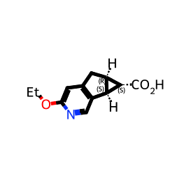 CCOc1cc2c(cn1)[C@H]1[C@@H](C2)[C@@H]1C(=O)O